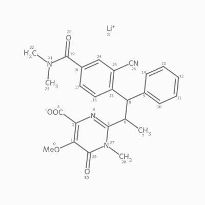 COc1c(C(=O)[O-])nc(C(C)C(c2ccccc2)c2ccc(C(=O)N(C)C)cc2C#N)n(C)c1=O.[Li+]